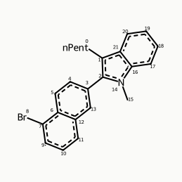 CCCCCc1c(-c2ccc3c(Br)[c]ccc3c2)n(C)c2ccccc12